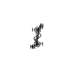 CN(C)c1ccc2cc(S(=O)(=O)Nc3ccc(C(=O)CSSCC(=O)c4ccc(NS(=O)(=O)c5ccc6nc(N(C)C)ccc6c5)cn4)nc3)ccc2n1